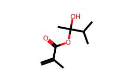 C=C(C)C(=O)OC(C)(O)C(C)C